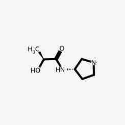 C[C@H](O)C(=O)N[C@H]1CC[N]C1